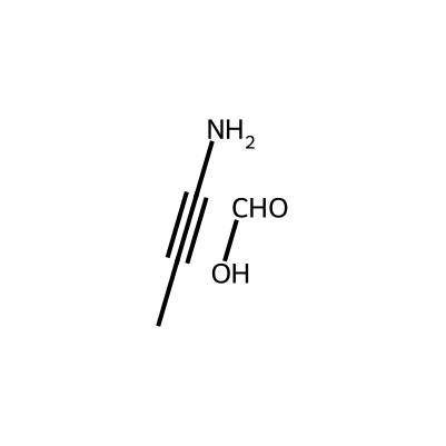 CC#CN.O=CO